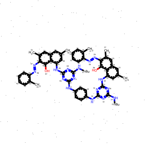 CCCCNc1nc(Nc2ccc(Nc3nc(NCCCC)nc(Nc4cc(C)cc5cc(C)c(N=Nc6ccccc6C)c(O)c45)n3)cc2)nc(Nc2cc(C)cc3cc(C)c(N=Nc4ccccc4C)c(O)c23)n1